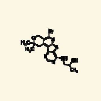 CC(O)CNc1ncnc2c1sc1nc(C(C)C)c3c(c12)CC(C)(C)OC3